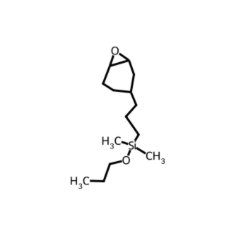 CCCO[Si](C)(C)CCCC1CCC2OC2C1